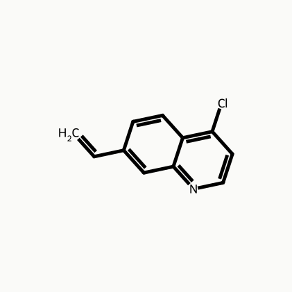 C=Cc1ccc2c(Cl)ccnc2c1